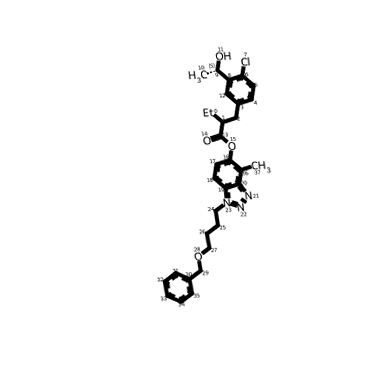 CCC(Cc1ccc(Cl)c([C@H](C)O)c1)C(=O)Oc1ccc2c(nnn2CCCCOCc2ccccc2)c1C